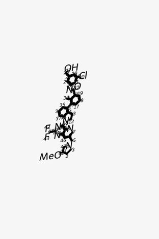 CO[C@@H]1CCN(Cc2cnc3c(N4CCc5c(-c6cccc(-c7nc8cc(CO)cc(Cl)c8o7)c6C)cccc54)nc(C(F)F)nc3c2)C1